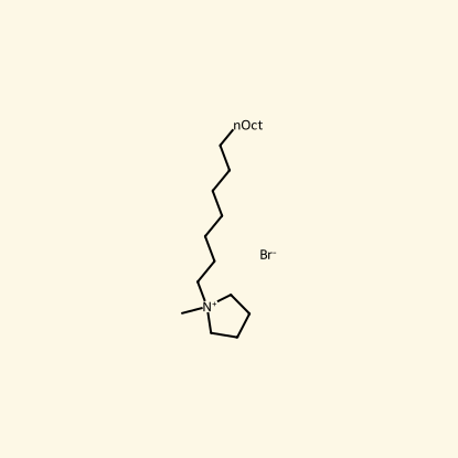 CCCCCCCCCCCCCCC[N+]1(C)CCCC1.[Br-]